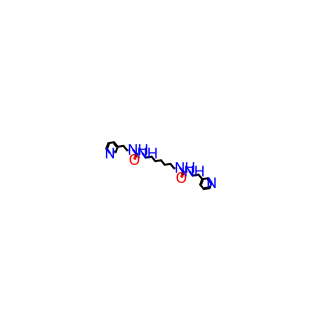 O=C(NCCCCCCCNC(=O)NCCc1cccnc1)NCCc1cccnc1